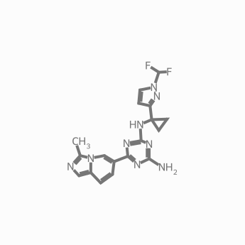 Cc1ncc2ccc(-c3nc(N)nc(NC4(c5ccn(C(F)F)n5)CC4)n3)cn12